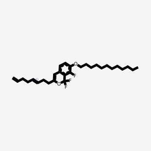 C=CCC/C=C/CCC1=Cc2ccc(OCCCCCCCCCCCC)c(F)c2C(F)(F)O1